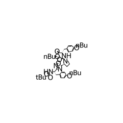 CCCCOC(=O)[C@H](Cc1ccc(OCCCC)cc1)NC(=O)N1CCC[C@H]1c1nc([C@H](Cc2ccc(OCCCC)cc2)NC(=O)OC(C)(C)C)no1